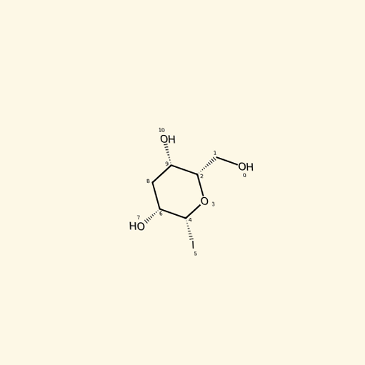 OC[C@@H]1O[C@H](I)[C@H](O)C[C@@H]1O